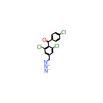 [N-]=[N+]=NCc1cc(Cl)c(C(=O)c2ccc(Cl)cc2)c(Cl)c1